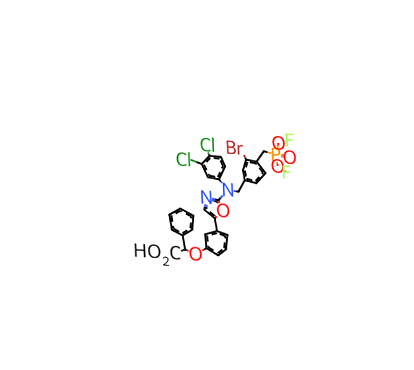 O=C(O)C(Oc1cccc(-c2cnc(N(Cc3ccc(CP(=O)(OF)OF)c(Br)c3)c3ccc(Cl)c(Cl)c3)o2)c1)c1ccccc1